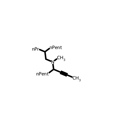 CC#CC(CCCCC)N(C)CC(CCC)CCCCC